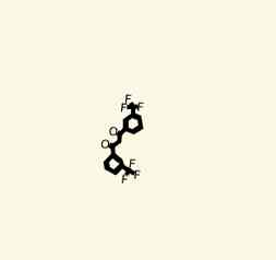 O=C(CC(=O)c1cccc(C(F)(F)F)c1)c1cccc(C(F)(F)F)c1